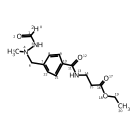 [2H]C(=O)NN(C)Cc1ccc(C(=O)NCCC(=O)OCC)cc1